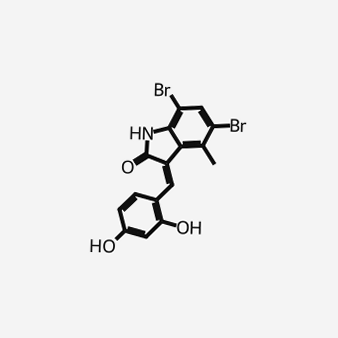 Cc1c(Br)cc(Br)c2c1C(=Cc1ccc(O)cc1O)C(=O)N2